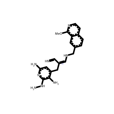 COc1nccc2ccc(CN/C=C(\C=N)Cc3cc(N)nc(NN)c3N)cc12